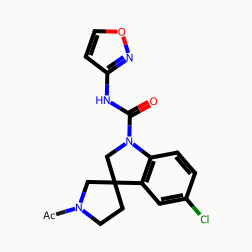 CC(=O)N1CCC2(C1)CN(C(=O)Nc1ccon1)c1ccc(Cl)cc12